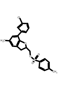 Cc1ccc(S(=O)(=O)OCC2Cc3cc(C)cc(-c4cccc(Cl)c4)c3O2)cc1